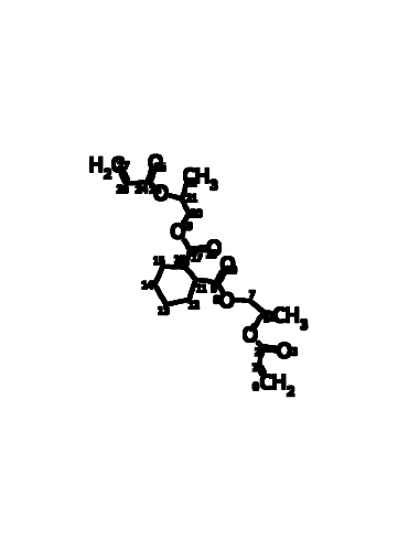 C=CC(=O)OC(C)COC(=O)C1CCCCC1C(=O)OCC(C)OC(=O)C=C